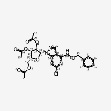 CC(=O)OC[C@H]1O[C@@H](n2ncc3c(NOCc4ccccc4)nc(Cl)nc32)[C@H](OC(C)=O)[C@@H]1OC(C)=O